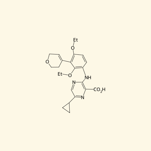 CCOc1ccc(Nc2ncc(C3CC3)nc2C(=O)O)c(OCC)c1C1=CCOCC1